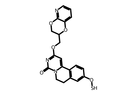 O=c1nc(OCC2COc3ncccc3O2)cc2n1CCc1cc(OS)ccc1-2